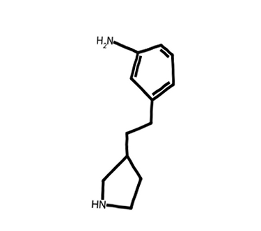 Nc1cccc(CCC2CCNC2)c1